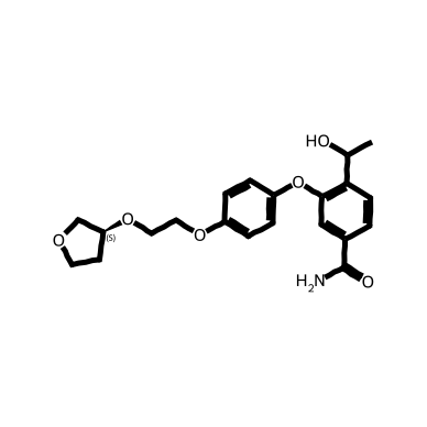 CC(O)c1ccc(C(N)=O)cc1Oc1ccc(OCCO[C@H]2CCOC2)cc1